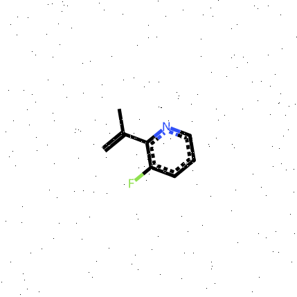 C=C(C)c1ncccc1F